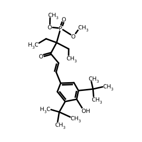 CCC(CC)(C(=O)C=Cc1cc(C(C)(C)C)c(O)c(C(C)(C)C)c1)P(=O)(OC)OC